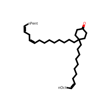 CCCCC/C=C\C/C=C\CCCCCCCCC1(CCCCCCCC/C=C\CCCCCCCC)CCC(=O)CC1